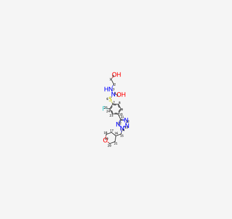 OCCNN(O)Sc1ccc(-c2nnn(CC3CCOCC3)n2)cc1F